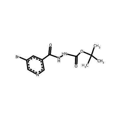 CC(C)(C)OC(=O)NNC(=O)c1cncc(Br)c1